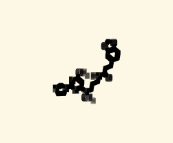 Cc1cc(N(C)CCCNC(=O)CCc2ccc3c(c2)OCO3)nc(-n2ccnc2)n1